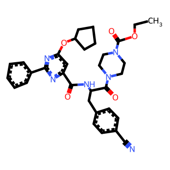 CCOC(=O)N1CCN(C(=O)C(Cc2ccc(C#N)cc2)NC(=O)c2cc(OC3CCCC3)nc(-c3ccccc3)n2)CC1